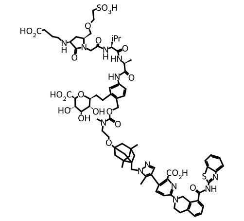 Cc1c(-c2ccc(N3CCc4cccc(C(=O)Nc5nc6ccccc6s5)c4C3)nc2C(=O)O)cnn1CC12CC3(C)CC(OCCN(C)C(=O)OCc4ccc(NC(=O)[C@H](C)NC(=O)[C@@H](NC(=O)CN5C(=O)[C@@H](NCCCC(=O)O)C[C@H]5COCCS(=O)(=O)O)C(C)C)cc4CC[C@@H]4O[C@H](C(=O)O)[C@@H](O)[C@H](O)[C@H]4O)(CC1(C)C3)C2